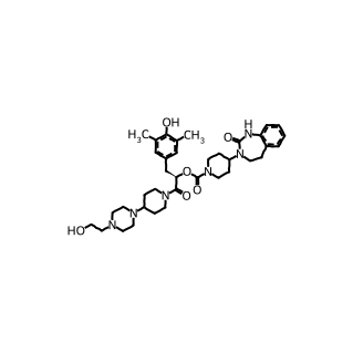 Cc1cc(C[C@@H](OC(=O)N2CCC(N3CCc4ccccc4NC3=O)CC2)C(=O)N2CCC(N3CCN(CCO)CC3)CC2)cc(C)c1O